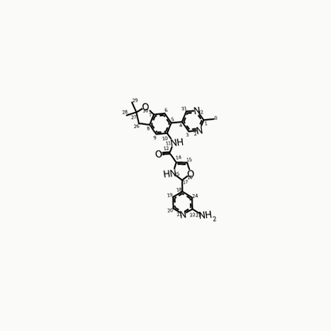 Cc1ncc(-c2cc3c(cc2NC(=O)C2=COC(c4ccnc(N)c4)N2)CC(C)(C)O3)cn1